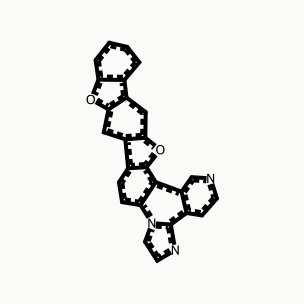 c1ccc2c(c1)oc1cc3c(cc12)oc1c3ccc2c1c1cnccc1c1nccn21